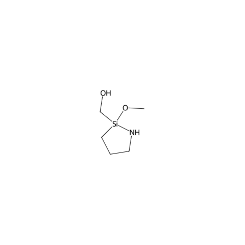 CO[Si]1(CO)CCCN1